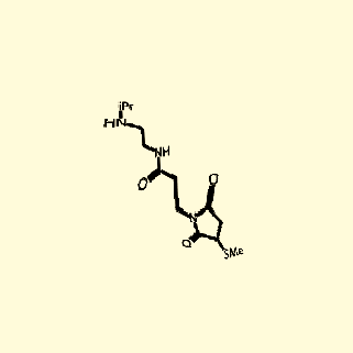 CSC1CC(=O)N(CCC(=O)NCCNC(C)C)C1=O